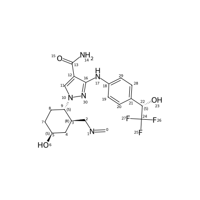 C=NC[C@H]1C[C@@H](O)CC[C@@H]1n1cc(C(N)=O)c(Nc2ccc([C@H](O)C(F)(F)F)cc2)n1